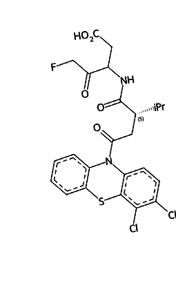 CC(C)[C@H](CC(=O)N1c2ccccc2Sc2c1ccc(Cl)c2Cl)C(=O)NC(CC(=O)O)C(=O)CF